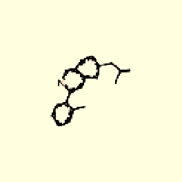 Cc1ccccc1-c1cc2cc(CC(C)C)ccc2cn1